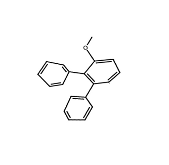 COc1cc[c]c(-c2ccccc2)c1-c1ccccc1